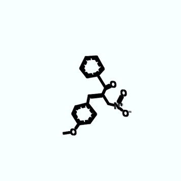 COc1ccc(/C=C(\C[N+](=O)[O-])C(=O)c2ccccc2)cc1